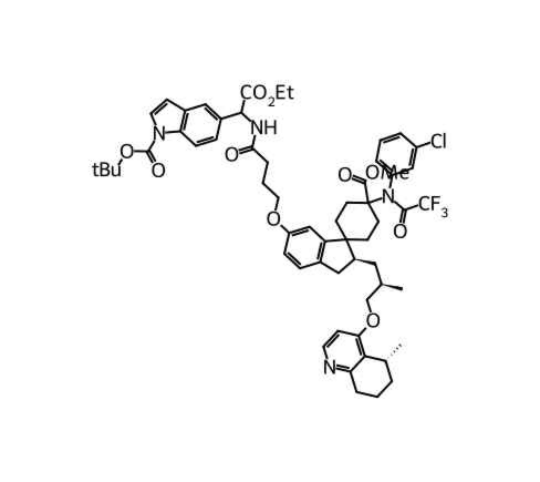 CCOC(=O)C(NC(=O)CCCOc1ccc2c(c1)C1(CCC(C(=O)OC)(N(C(=O)C(F)(F)F)c3cccc(Cl)c3)CC1)[C@@H](C[C@@H](C)COc1ccnc3c1[C@H](C)CCC3)C2)c1ccc2c(ccn2C(=O)OC(C)(C)C)c1